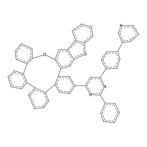 c1ccc(-c2nc(-c3ccc(-c4cccnc4)cc3)cc(-c3ccc4c(c3)-c3cc5oc6ccccc6c5cc3Oc3ccccc3-c3ccccc3-c3ccccc3-4)n2)cc1